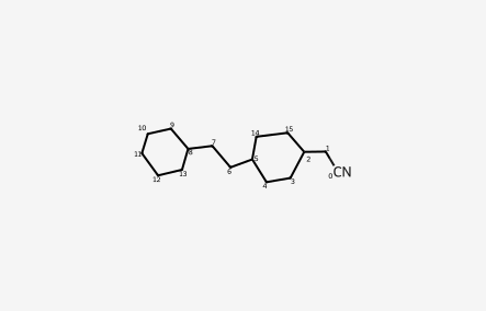 N#CCC1CCC(CCC2CCCCC2)CC1